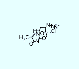 Cc1cn2c(nc1=O)OC[C@@]1(CCl)O[C@@H]2C[C@@H]1N=[N+]=[N-]